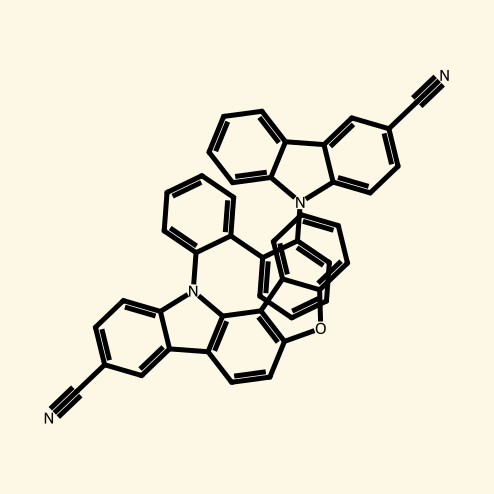 N#Cc1ccc2c(c1)c1ccccc1n2-c1ccccc1-c1ccccc1-n1c2ccc(C#N)cc2c2ccc3oc4ccccc4c3c21